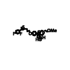 COCCN1CCC(C(=O)NO)(S(=O)(=O)c2ccc(OCCCc3cc(-c4ccc(F)cc4F)cs3)cc2)CC1